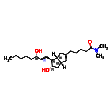 CCCCC[C@H](O)/C=C/[C@H]1[C@@H]2CC(CCCCC(=O)N(C)C)=C[C@@H]2C[C@@H]1O